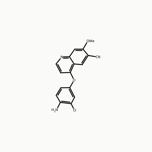 COc1cc2nccc(Oc3ccc(N)c(Cl)c3)c2cc1C#N